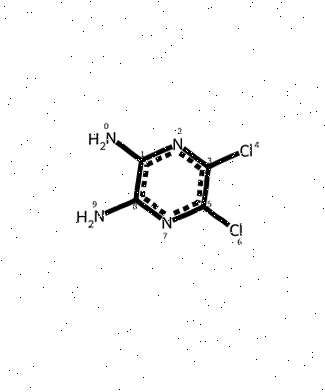 Nc1nc(Cl)c(Cl)nc1N